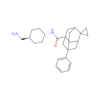 NC[C@H]1CC[C@H](NC(=O)C23CC4CC(c5ccccc5)(CC(C2)C42CC2)C3)CC1